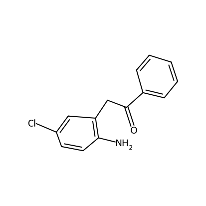 Nc1ccc(Cl)cc1CC(=O)c1ccccc1